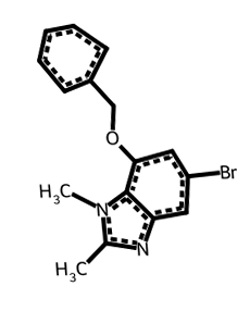 Cc1nc2cc(Br)cc(OCc3ccccc3)c2n1C